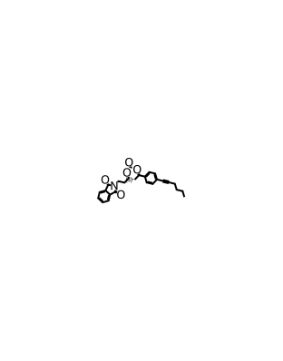 CCCCC#Cc1ccc(C(=O)C[C@H](CCN2C(=O)c3ccccc3C2=O)OC=O)cc1